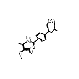 COC(=O)C(C)NC(=O)c1ccc(C(CO)CC(C)C)cc1